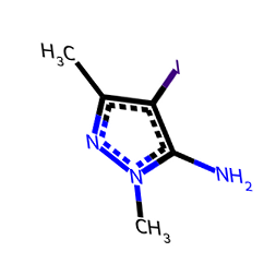 Cc1nn(C)c(N)c1I